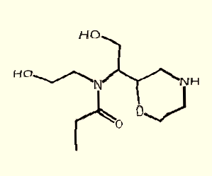 CCC(=O)N(CCO)C(CO)C1CNCCO1